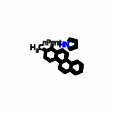 CCCCCC1c2ccc3c(ccc4ccccc43)c2CCC1C.c1cc[nH]c1